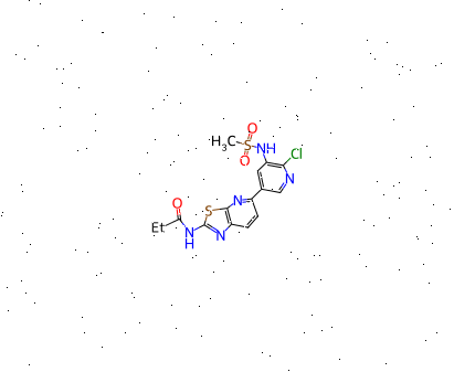 CCC(=O)Nc1nc2ccc(-c3cnc(Cl)c(NS(C)(=O)=O)c3)nc2s1